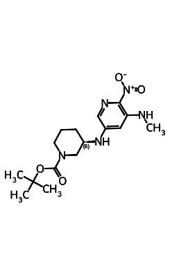 CNc1cc(N[C@@H]2CCCN(C(=O)OC(C)(C)C)C2)cnc1[N+](=O)[O-]